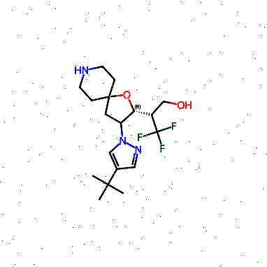 CC(C)(C)c1cnn(C2CC3(CCNCC3)O[C@@H]2C(CO)C(F)(F)F)c1